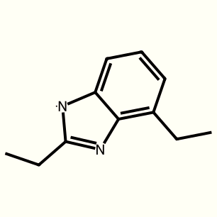 CCC1=Nc2c(CC)cccc2[N]1